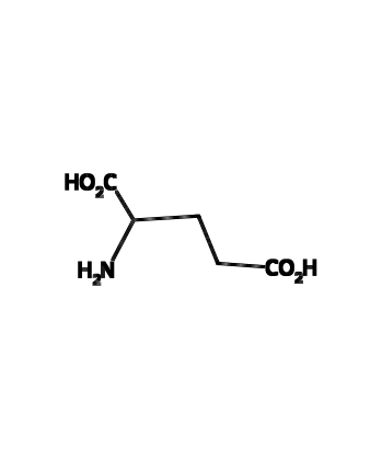 NC(CCC(=O)O)[13C](=O)O